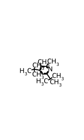 Cc1nc(C(C)(C)C)cc(C(C)(C)C)c1C